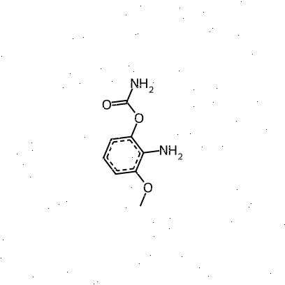 COc1cccc(OC(N)=O)c1N